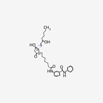 CCCCC[C@H](O)/C=C/[C@H]1[C@H](O)CC(=O)[C@@H]1CCCCCCC(=O)Nc1cccc(C(=O)Nc2ccccc2)c1